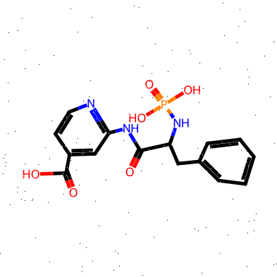 O=C(O)c1ccnc(NC(=O)C(Cc2ccccc2)NP(=O)(O)O)c1